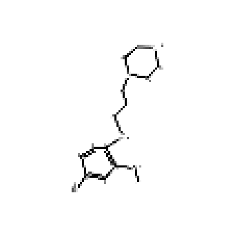 COc1cc(Br)ccc1OCCCN1CCOCC1